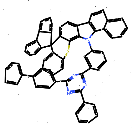 c1ccc(-c2ccc(-c3nc(-c4ccccc4)nc(-c4cccc(-n5c6c7c(ccc6c6ccc8ccccc8c65)C5(c6ccccc6S7)c6ccccc6-c6ccccc65)c4)n3)cc2)cc1